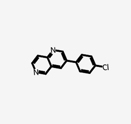 Clc1ccc(-c2cnc3ccncc3c2)cc1